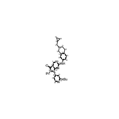 CC(C)n1c(=O)c2cnc(Nc3ccc4c(c3)CN(CC3CC3)CC4)nc2n1-c1ccnc(C(C)(C)C)c1